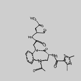 CC(=O)N1C[C@H](NC(=O)c2sc(C)nc2C)C(=O)N(CC(=O)N[C@H](C=O)CC(=O)O)c2ccccc21